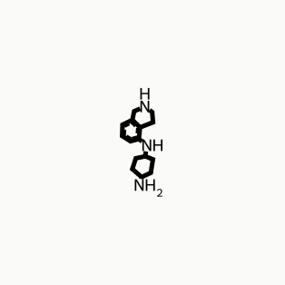 NC1CCC(Nc2cccc3c2CCNC3)CC1